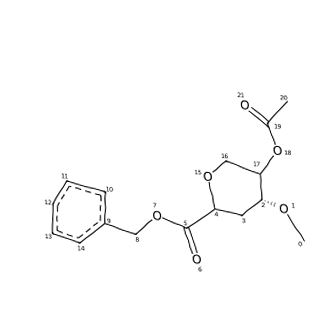 CO[C@@H]1CC(C(=O)OCc2ccccc2)OCC1OC(C)=O